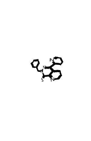 S=c1c2ncccc2c(-c2ccccn2)nn1Cc1ccccc1